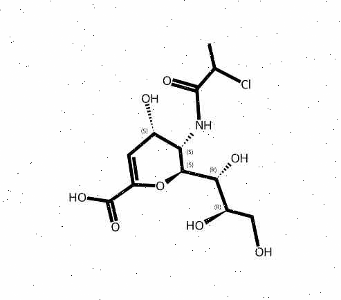 CC(Cl)C(=O)N[C@@H]1[C@@H]([C@H](O)[C@H](O)CO)OC(C(=O)O)=C[C@@H]1O